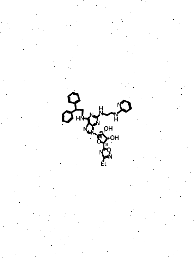 CCc1noc([C@H]2O[C@@H](n3cnc4c(NCC(c5ccccc5)c5ccccc5)nc(NCCNc5ccccn5)nc43)[C@H](O)[C@@H]2O)n1